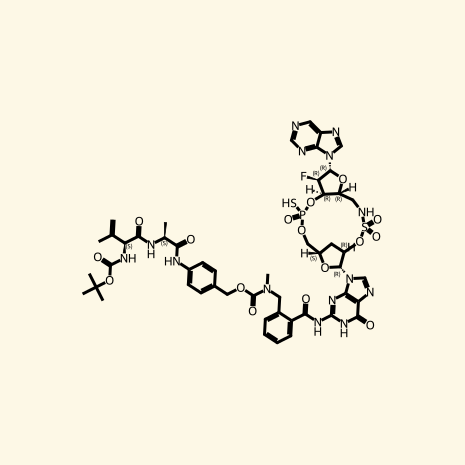 C=C(C)[C@H](NC(=O)OC(C)(C)C)C(=O)N[C@@H](C)C(=O)Nc1ccc(COC(=O)N(C)Cc2ccccc2C(=O)Nc2nc3c(ncn3[C@@H]3O[C@@H]4COP(=O)(S)O[C@H]5[C@@H](F)[C@H](n6cnc7cncnc76)O[C@@H]5CNS(=O)(=O)O[C@@H]3C4)c(=O)[nH]2)cc1